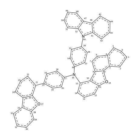 c1ccc2c(c1)ccc1c2oc2cccc(N(c3ccc(-c4cccc5c4oc4ccccc45)cc3)c3ccc(-n4c5ccccc5c5ccccc54)cc3)c21